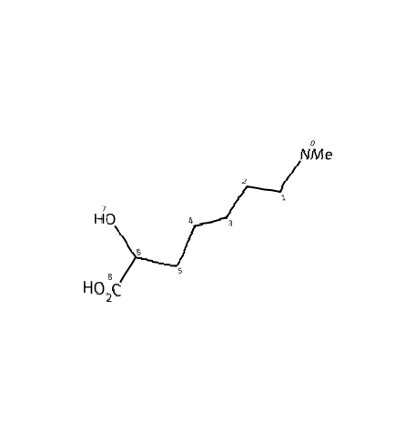 CNCCCCCC(O)C(=O)O